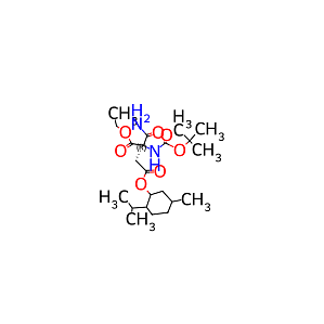 CCOC(=O)[C@](CC(=O)OC1CC(C)CCC1C(C)C)(NC(=O)OC(C)(C)C)C(N)=O